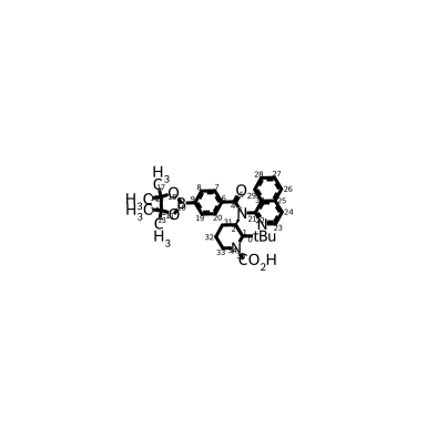 CC(C)(C)C1[C@H](N(C(=O)c2ccc(B3OC(C)(C)C(C)(C)O3)cc2)c2nccc3ccccc23)CCCN1C(=O)O